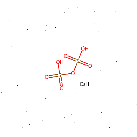 O=S(=O)(O)OS(=O)(=O)O.[CsH]